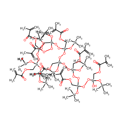 C=C(C)C(=O)OC[Si](O)(OO[Si](COC(=O)C(=C)C)(OO[Si](COC(=O)C(=C)C)(OO[Si](COC(=O)C(=C)C)(OO[Si](COC(=O)C(=C)C)(OO[Si](COC(=O)C(=C)C)(OO[Si](COC(=O)C(=C)C)(OO[Si](COC(=O)C(=C)C)(O[Si](C)(C)C)O[Si](C)(C)O[Si](C)(C)C)O[Si](C)(C)C)O[Si](C)(C)C)O[Si](C)(C)C)O[Si](C)(C)C)O[Si](C)(C)C)O[Si](C)(C)C)O[Si](C)(C)C